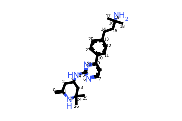 C=C1CC(Nc2nccc(-c3ccc(CCC(C)(C)N)cc3)n2)CC(C)(C)N1